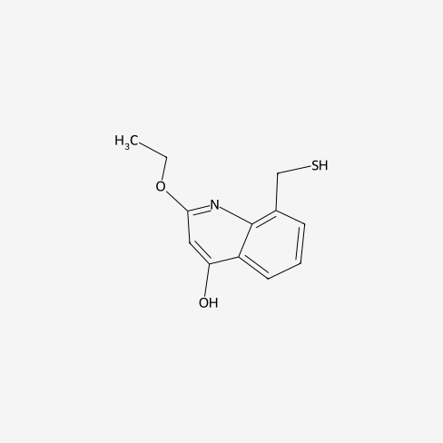 CCOc1cc(O)c2cccc(CS)c2n1